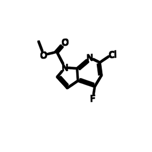 COC(=O)n1ccc2c(F)cc(Cl)nc21